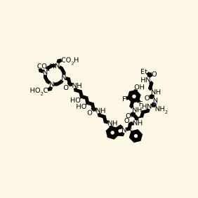 CCC(=O)NCCNC(=O)/N=C(/N)NCCC[C@@H](NC(=O)[C@H](c1ccccc1)N1Cc2cccc(NCCCNC(=O)C[C@H](O)C[C@H](O)CCNC(=O)CN3CCN(CC(=O)O)CCN(CC(=O)O)CCN(CC(=O)O)CC3)c2C1)C(=O)NCc1c(F)cc(O)cc1F